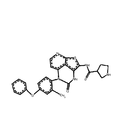 Cc1cc(Oc2ccccc2)ccc1N1C(=O)Nc2c(NC(=O)C3CCNC3)sc3nccc1c23